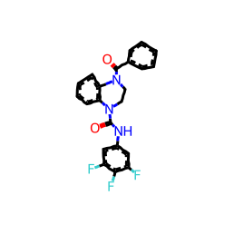 O=C(Nc1cc(F)c(F)c(F)c1)N1CCN(C(=O)c2ccccc2)c2ccccc21